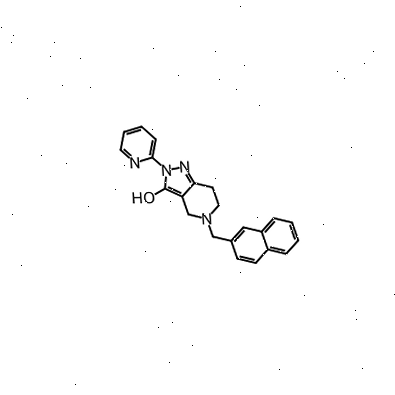 Oc1c2c(nn1-c1ccccn1)CCN(Cc1ccc3ccccc3c1)C2